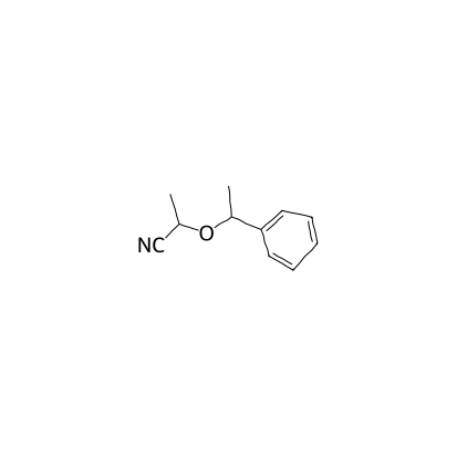 CC(C#N)OC(C)c1ccccc1